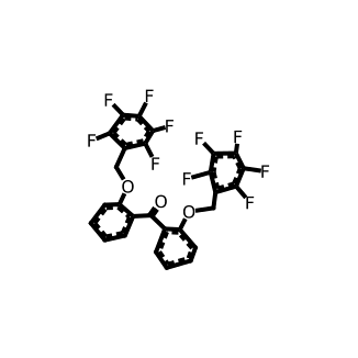 O=C(c1ccccc1OCc1c(F)c(F)c(F)c(F)c1F)c1ccccc1OCc1c(F)c(F)c(F)c(F)c1F